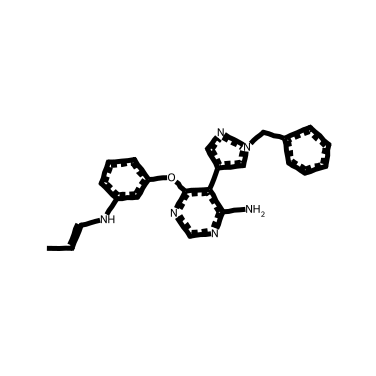 CC=CNc1cccc(Oc2ncnc(N)c2-c2cnn(Cc3ccccc3)c2)c1